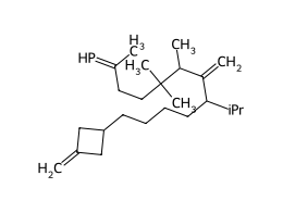 C=C1CC(CCCCC(C(=C)C(C)C(C)(C)CCC(C)=P)C(C)C)C1